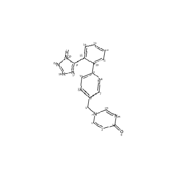 O=c1ccn(Cc2ccc(-c3ccccc3-c3nnn[nH]3)cc2)cn1